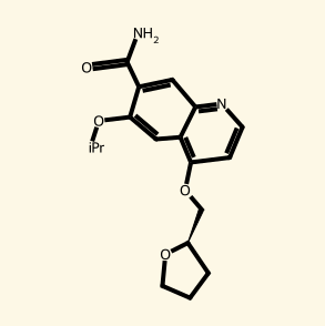 CC(C)Oc1cc2c(OC[C@H]3CCCO3)ccnc2cc1C(N)=O